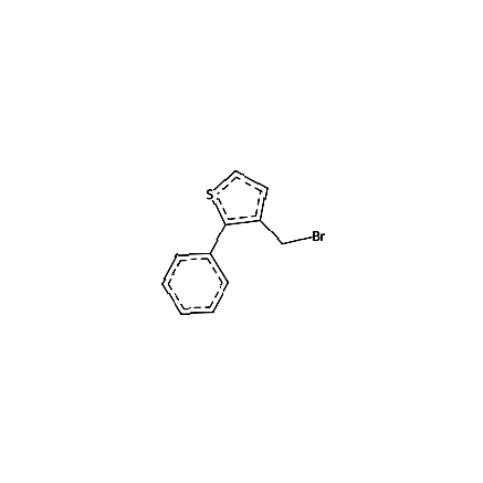 BrCc1ccsc1-c1ccccc1